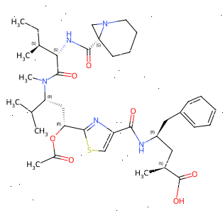 CC[C@H](C)[C@H](NC(=O)[C@@]12CCCCN1C2)C(=O)N(C)[C@H](C[C@@H](OC(C)=O)c1nc(C(=O)N[C@@H](Cc2ccccc2)C[C@H](C)C(=O)O)cs1)C(C)C